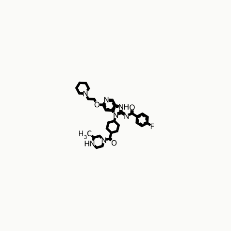 CC1CN(C(=O)C2CCC(n3c(=NC(=O)c4ccc(F)cc4)[nH]c4cnc(OCCN5CCCCC5)cc43)CC2)CCN1